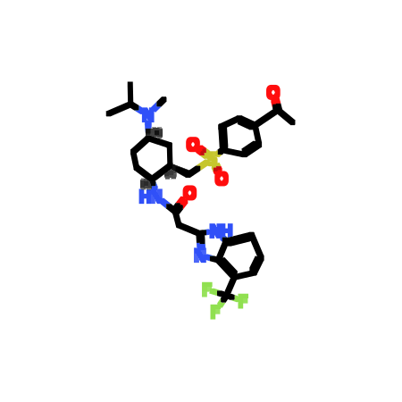 CC(=O)c1ccc(S(=O)(=O)C[C@@H]2C[C@H](N(C)C(C)C)CC[C@@H]2NC(=O)Cc2nc3c(C(F)(F)F)cccc3[nH]2)cc1